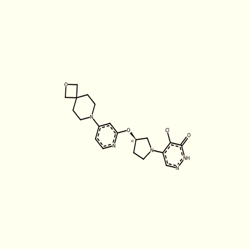 O=c1[nH]ncc(N2CC[C@@H](Oc3cc(N4CCC5(CC4)COC5)ccn3)C2)c1Cl